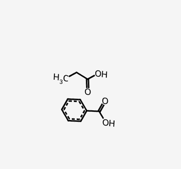 CCC(=O)O.O=C(O)c1ccccc1